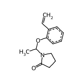 C=Cc1ccccc1OC(C)N1CCCC1=O